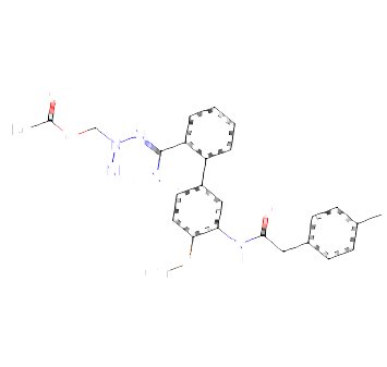 Cc1ccc(CC(=O)Nc2cc(-c3ccccc3/C(N)=N/N(N)COC(=O)C(C)(C)C)ccc2SC(C)(C)C)cc1